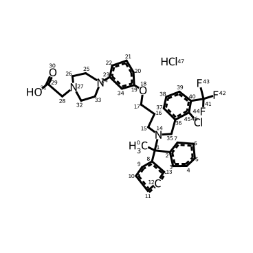 CC(c1ccccc1)(c1ccccc1)N(CCCOc1cccc(N2CCN(CC(=O)O)CC2)c1)Cc1cccc(C(F)(F)F)c1Cl.Cl